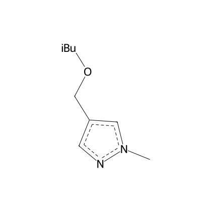 CCC(C)OCc1cnn(C)c1